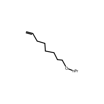 C=CCCCCCCOCCC